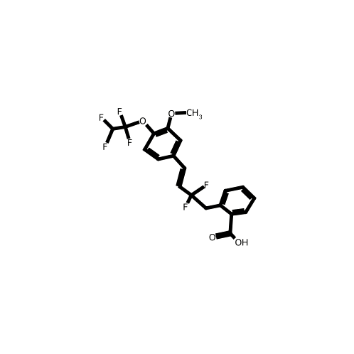 COc1cc(/C=C/C(F)(F)Cc2ccccc2C(=O)O)ccc1OC(F)(F)C(F)F